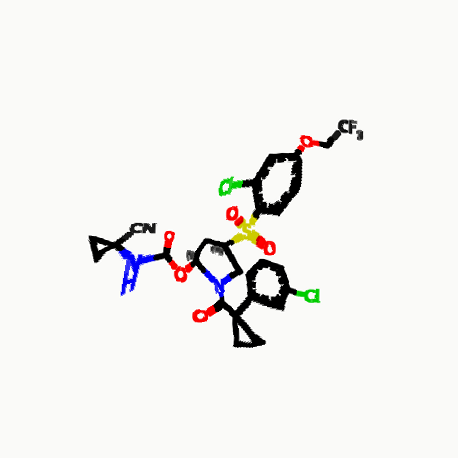 N#CC1(NC(=O)O[C@H]2C[C@@H](S(=O)(=O)c3ccc(OCC(F)(F)F)cc3Cl)CN2C(=O)C2(c3cccc(Cl)c3)CC2)CC1